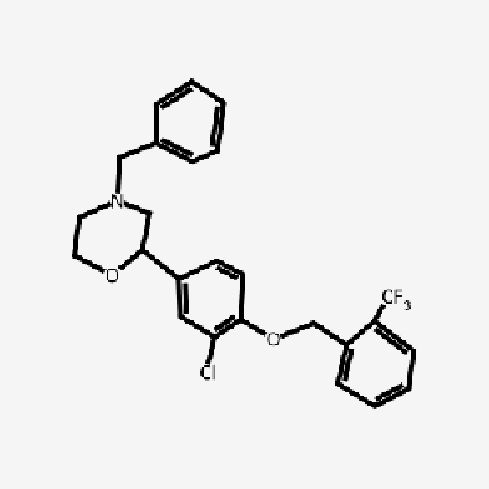 FC(F)(F)c1ccccc1COc1ccc(C2CN(Cc3ccccc3)CCO2)cc1Cl